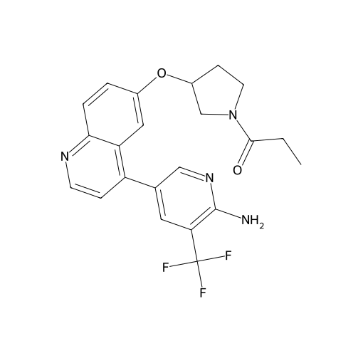 CCC(=O)N1CCC(Oc2ccc3nccc(-c4cnc(N)c(C(F)(F)F)c4)c3c2)C1